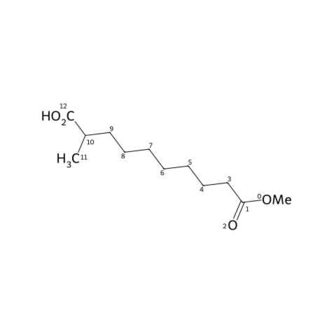 COC(=O)CCCCCCCC(C)C(=O)O